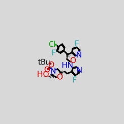 CC(C)(C)OC(=O)N1C[C@@H](CCc2c(F)cncc2NC(=O)C[C@H](c2cncc(F)c2)c2ccc(Cl)c(F)c2)OC[C@@H]1CO